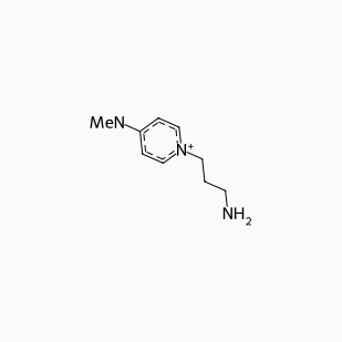 CNc1cc[n+](CCCN)cc1